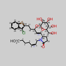 O=C(O)CCC/C=C\CN1C(=O)CC[C@@H]1/C=C/C(CCc1sc2ccccc2c1Cl)O[C@@H]1OC(CO)[C@@H](O)[C@H](O)C1O